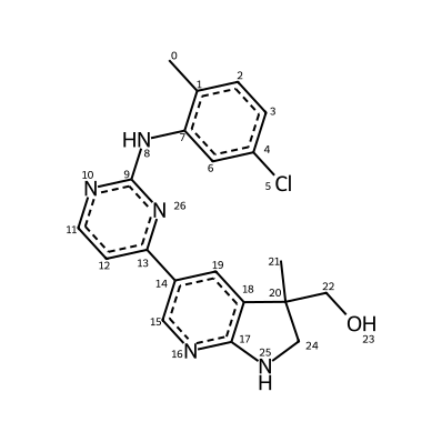 Cc1ccc(Cl)cc1Nc1nccc(-c2cnc3c(c2)C(C)(CO)CN3)n1